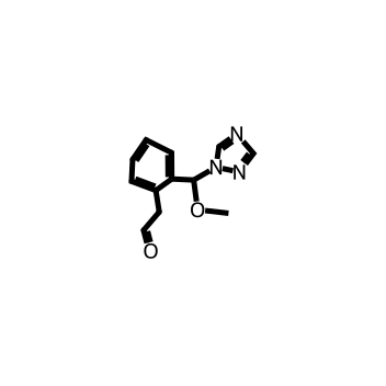 COC(c1ccccc1CC=O)n1cncn1